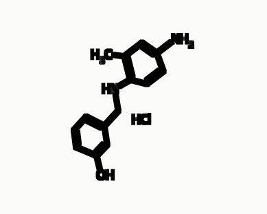 Cc1cc(N)ccc1NCc1cccc(O)c1.Cl